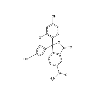 N[S+]([O-])c1ccc2c(c1)C(=O)OC21c2ccc(O)cc2Oc2cc(O)ccc21